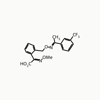 CO/N=C(/C(=O)O)c1ccccc1CO/N=C(\C)c1cccc(C(F)(F)F)c1